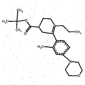 CCCC1=C(c2ccc(N3CCOCC3)cc2C)CN(C(=O)OC(C)(C)C)CC1